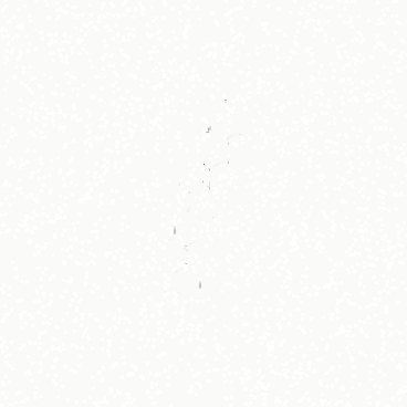 O=C(N/N=C/c1ccccc1O)c1ccc(-c2ccccc2)cc1